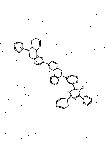 CN1C(c2ccccc2)=NC(C2C=CC=CC2)=NC1c1cccc(C2CC3C=CC(c4ccc5c(c4)C4C=CCCC4C(c4ccccc4)C5)=CC3c3ccccc32)c1